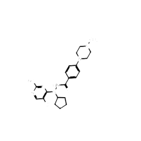 CN1CCN(c2ccc(C(=O)NN(c3nc(C#N)ncc3Cl)C3CCCC3)cc2)CC1